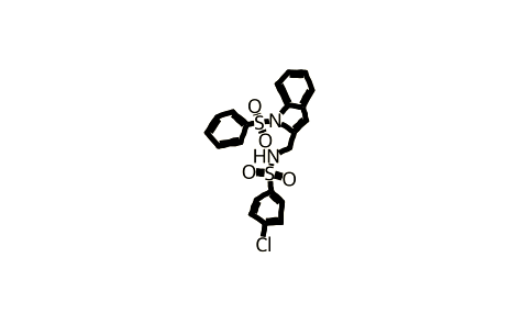 O=S(=O)(NCc1cc2ccccc2n1S(=O)(=O)c1ccccc1)c1ccc(Cl)cc1